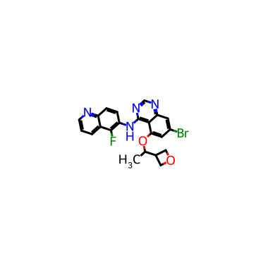 CC(Oc1cc(Br)cc2ncnc(Nc3ccc4ncccc4c3F)c12)C1COC1